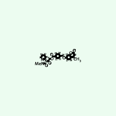 CNC(=O)N(C(=O)COC(=O)c1ccc(COc2ccc3c(C)cc(=O)oc3c2)cc1)c1ccccn1